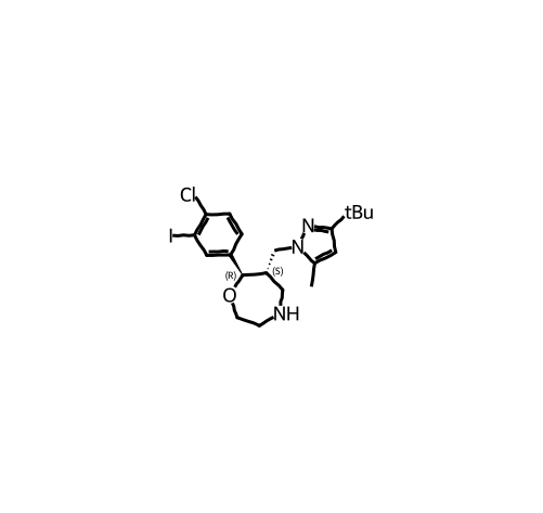 Cc1cc(C(C)(C)C)nn1C[C@@H]1CNCCO[C@H]1c1ccc(Cl)c(I)c1